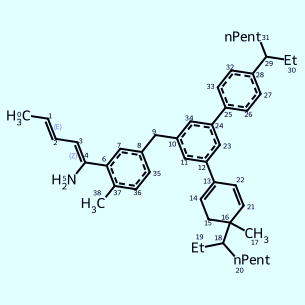 C/C=C/C=C(\N)c1cc(Cc2cc(C3=CCC(C)(C(CC)CCCCC)C=C3)cc(-c3ccc(C(CC)CCCCC)cc3)c2)ccc1C